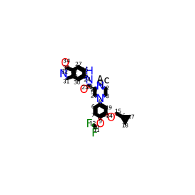 CC(=O)N1CCN(c2ccc(OC(F)F)c(OCC3CC3)c2)C[C@@H]1C(=O)Nc1ccc2c(c1)C=NC2=O